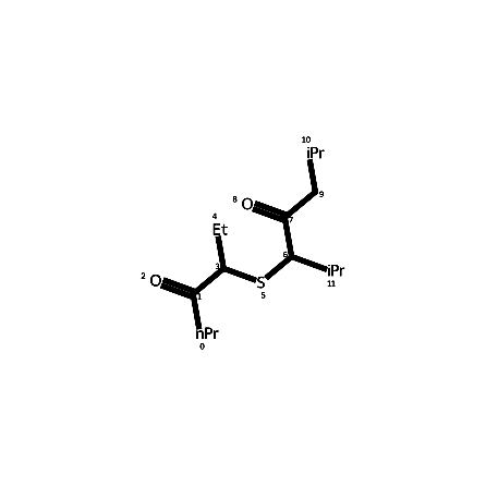 CCCC(=O)C(CC)SC(C(=O)CC(C)C)C(C)C